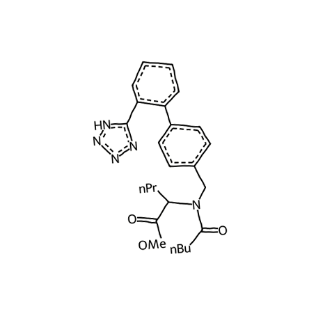 CCCCC(=O)N(Cc1ccc(-c2ccccc2-c2nnn[nH]2)cc1)C(CCC)C(=O)OC